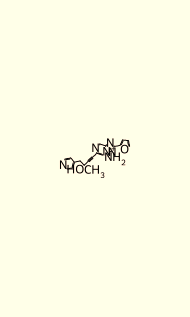 CC(O)(C#CC1=C[N+]2(N)N=C(c3ccco3)N=C2C=N1)Cc1ccncc1